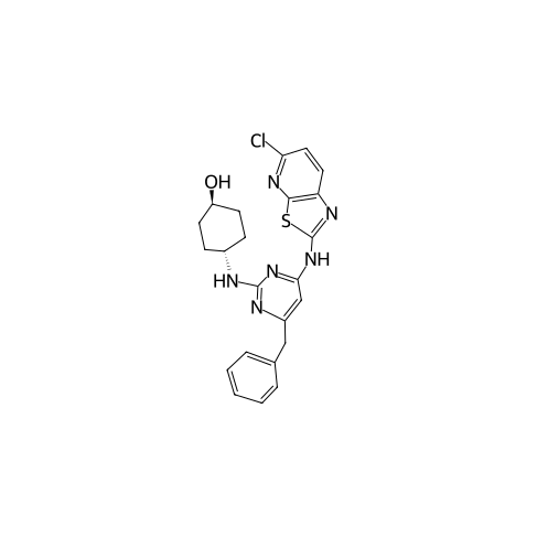 O[C@H]1CC[C@H](Nc2nc(Cc3ccccc3)cc(Nc3nc4ccc(Cl)nc4s3)n2)CC1